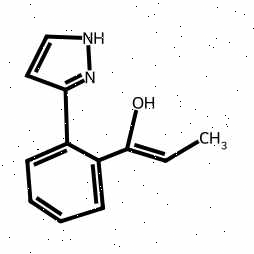 CC=C(O)c1ccccc1-c1cc[nH]n1